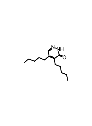 CCCCCc1cn[nH]c(=O)c1CCCCC